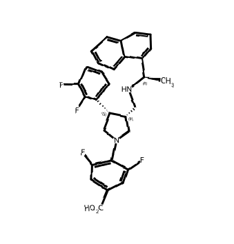 C[C@@H](NC[C@@H]1CN(c2c(F)cc(C(=O)O)cc2F)C[C@@H]1c1cccc(F)c1F)c1cccc2ccccc12